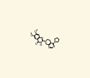 COc1cc2nc(N3CCc4c(ncnc4N4CCCC4)C3)[nH]c(=O)c2cc1OC